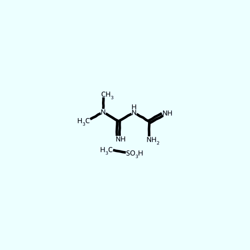 CN(C)C(=N)NC(=N)N.CS(=O)(=O)O